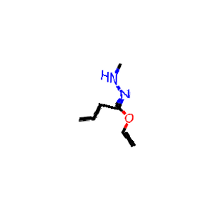 C=CO/C(CCC)=N/NC